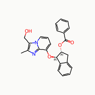 Cc1nc2c(O[C@@H]3c4ccccc4C[C@H]3OC(=O)c3ccccc3)cccn2c1CO